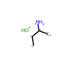 CC[CH](N)[K].Cl